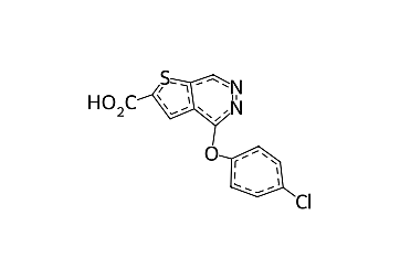 O=C(O)c1cc2c(Oc3ccc(Cl)cc3)nncc2s1